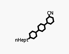 CCCCCCCC1CCC(C2CCC(C3CCCC(C#N)C3)CC2)CC1